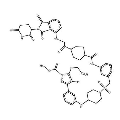 CC(C)(C)OC(=O)c1sc(-c2cccc(NC3CCN(S(=O)(=O)Cc4cccc(NC(=O)C5CCN(C(=O)CNc6cccc7c6C(=O)N(C6CCC(=O)NC6=O)C7=O)CC5)c4)CC3)c2)c(Cl)c1OCC(=O)O